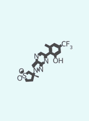 Cc1cc(C(F)(F)F)cc(O)c1-c1cnc2cn([C@]3(C)CCS(=O)(=O)C3)nc2n1